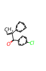 CC=C(C(=O)c1ccc(Cl)cc1)c1ccccc1